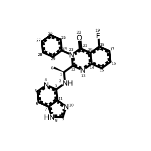 C[C@H](Nc1nccc2[nH]cnc12)c1nc2cccc(F)c2c(=O)n1-c1ccccc1